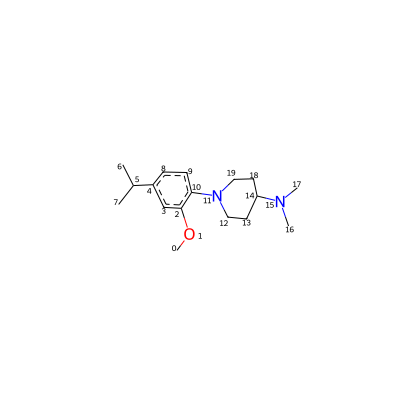 COc1cc(C(C)C)ccc1N1CCC(N(C)C)CC1